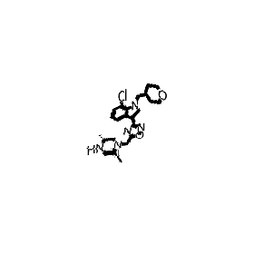 C[C@@H]1CN(Cc2nc(-c3cn(CC4CCOCC4)c4c(Cl)cccc34)no2)[C@@H](C)CN1